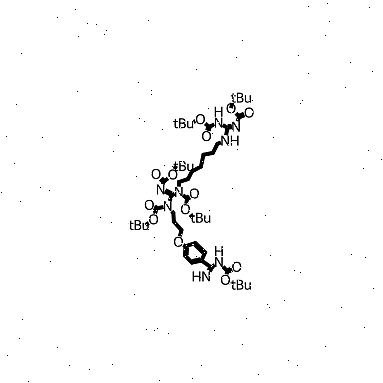 CC(C)(C)OC(=O)N=C(NCCCCCCCN(C(=O)OC(C)(C)C)C(=NC(=O)OC(C)(C)C)N(CCCOc1ccc(C(=N)NC(=O)OC(C)(C)C)cc1)C(=O)OC(C)(C)C)NC(=O)OC(C)(C)C